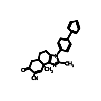 Cc1nc2c(n1-c1ccc(-c3ccccc3)cc1)CCC1CC(=O)C(C#N)=CC21C